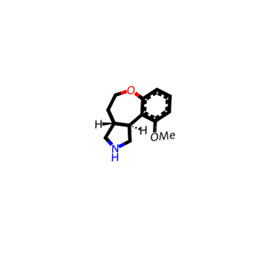 COc1cccc2c1[C@H]1CNC[C@@H]1CCO2